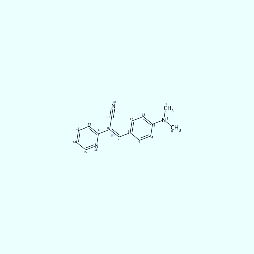 CN(C)c1ccc(/C=C(\C#N)c2ccccn2)cc1